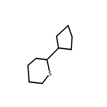 C1CC[C](C2CCCC2)SC1